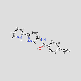 COc1ccc(C(=O)Nc2ccc(-c3ccccn3)nc2)cc1